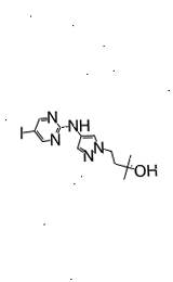 CC(C)(O)CCn1cc(Nc2ncc(I)cn2)cn1